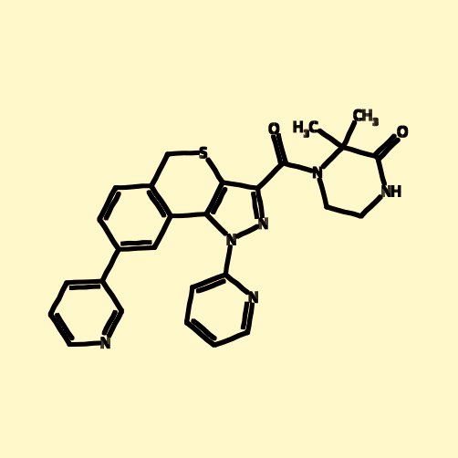 CC1(C)C(=O)NCCN1C(=O)c1nn(-c2ccccn2)c2c1SCc1ccc(-c3cccnc3)cc1-2